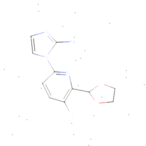 Nc1nccn1-c1ccc(Br)c(C2OCCO2)n1